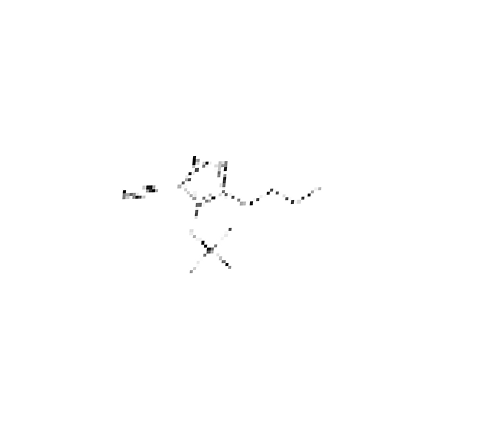 CCCCn1nnc(C#N)c1CC(C)(C)C